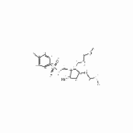 COCOC[C@H]1[C@H](COS(=O)(=O)c2ccc(C)cc2)[C@@H](O)C[C@@H]1OCOC